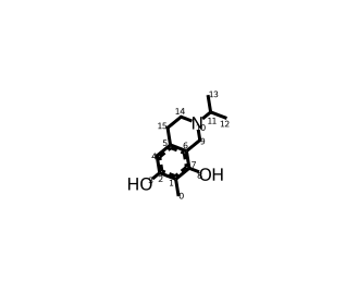 Cc1c(O)cc2c(c1O)CN(C(C)C)CC2